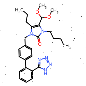 CCCCn1c(C(OC)OC)c(CCC)n(Cc2ccc(-c3ccccc3-c3nnn[nH]3)cc2)c1=O